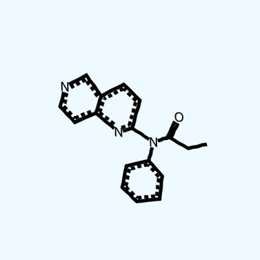 CCC(=O)N(c1ccccc1)c1ccc2cnccc2n1